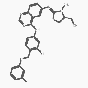 CN1C(=Nc2ccc3ncnc(Nc4ccc(COc5cccc(F)c5)c(Cl)c4)c3c2)OC[C@@H]1CO